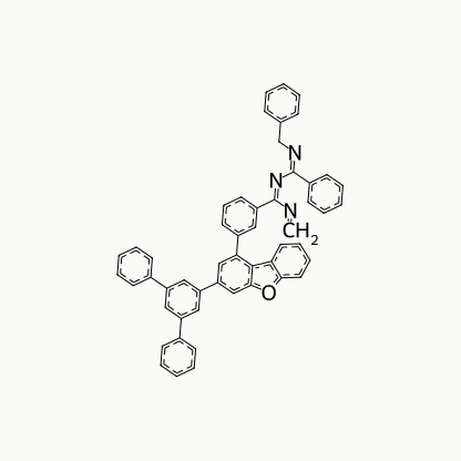 C=N/C(=N\C(=N/Cc1ccccc1)c1ccccc1)c1cccc(-c2cc(-c3cc(-c4ccccc4)cc(-c4ccccc4)c3)cc3oc4ccccc4c23)c1